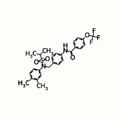 Cc1ccc(N(Cc2ccc(NC(=O)c3ccc(OC(F)(F)F)cc3)cc2)S(=O)(=O)C(C)C)cc1C